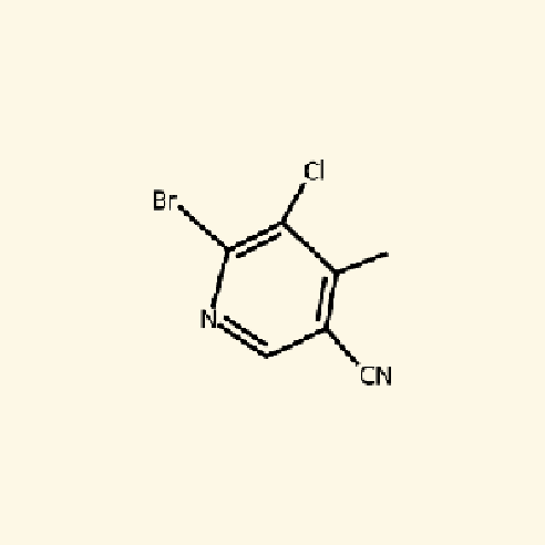 Cc1c(C#N)cnc(Br)c1Cl